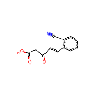 N#Cc1ccccc1C=CC(=O)CC(=O)O